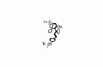 Cc1cc(O)c(C(=O)/C=C/c2ccc(SC(F)(F)F)cc2)c(=O)o1